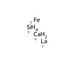 [CaH2].[Fe].[La].[SiH4]